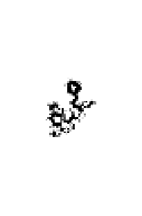 CCOC(=O)C(CCc1ccccc1)N[C@@H](C)C(=O)N1CC2(CC[C@H]1C(=O)O)SCCS2